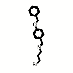 BrCCCN=Cc1ccc(OCc2ccccc2)cc1